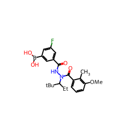 CCC(N(NC(=O)c1cc(F)cc(B(O)O)c1)C(=O)c1cccc(OC)c1C)C(C)(C)C